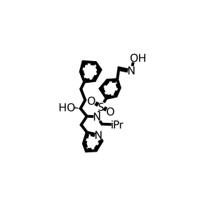 CC(C)CN(C(Cc1ccccn1)[C@H](O)CCc1ccccc1)S(=O)(=O)c1ccc(C=NO)cc1